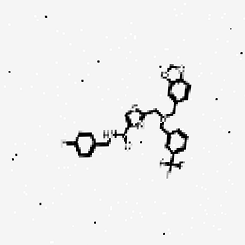 O=C(NCc1ccc(F)cc1)c1csc(CN(Cc2cccc(C(F)(F)F)c2)Cc2ccc3c(c2)OCO3)n1